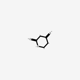 O=C1CC(=S)CCO1